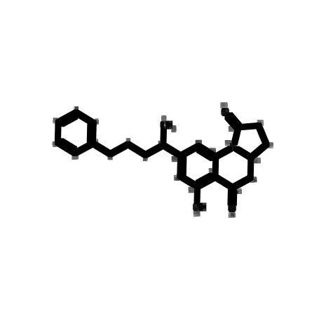 CC(CCCc1ccccc1)c1cc(O)c2c(c1)N1C(=O)CCC1CC2=O